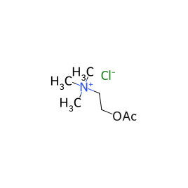 CC(=O)OCC[N+](C)(C)C.[Cl-]